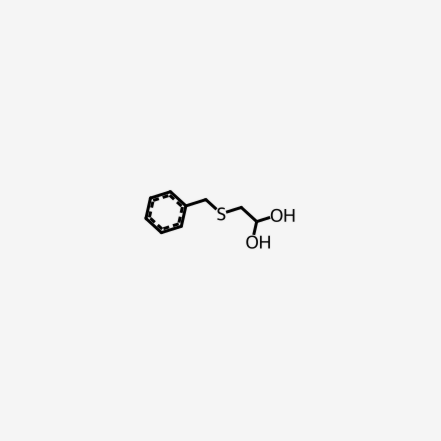 OC(O)CSCc1ccccc1